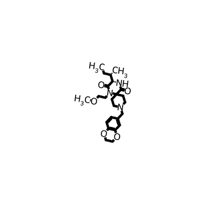 CC[C@H](C)[C@@H]1NC(=O)C2(CCN(Cc3ccc4c(c3)OCCO4)CC2)N(CCOC)C1=O